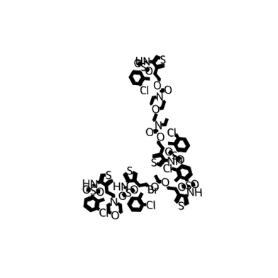 CC(=O)OCCc1cscc1NS(=O)(=O)c1cccc(Cl)c1C.CCN(CC)C(=O)OCCc1cscc1NS(=O)(=O)c1cccc(Cl)c1C.Cc1c(Cl)cccc1S(=O)(=O)Nc1cscc1CCBr.Cc1c(Cl)cccc1S(=O)(=O)Nc1cscc1CCN1CCOCC1.Cc1c(Cl)cccc1S(=O)(=O)Nc1cscc1CCOC(=O)N1CCOCC1